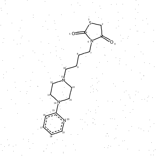 O=C1CSC(=O)N1CCCCN1CCN(c2ccccn2)CC1